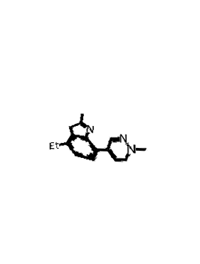 CCc1ccc(C2=CCN(C)N=C2)c2c1CC(C)=N2